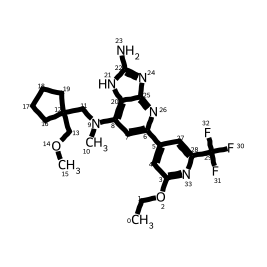 CCOc1cc(-c2cc(N(C)CC3(COC)CCCC3)c3[nH]c(N)nc3n2)cc(C(F)(F)F)n1